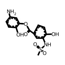 CS(=O)(=O)Nc1cc(C(=O)Oc2cc(N)ccc2O)ccc1O